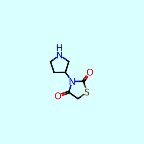 O=C1CSC(=O)N1C1CCNC1